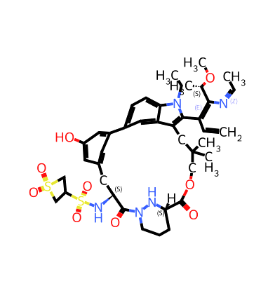 C=C/C(=C(\N=C/C)[C@H](C)OC)c1c2c3cc(ccc3n1CC)-c1cc(O)cc(c1)C[C@H](NS(=O)(=O)C1CS(=O)(=O)C1)C(=O)N1CCC[C@H](N1)C(=O)OCC(C)(C)C2